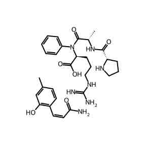 C[C@H](NC(=O)[C@@H]1CCCN1)C(=O)N(c1ccccc1)[C@@H](CCCNC(=N)N)C(=O)O.Cc1ccc(/C=C\C(N)=O)c(O)c1